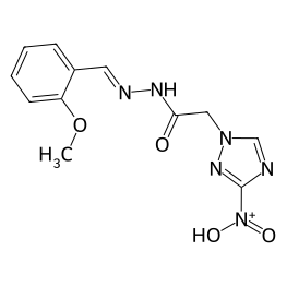 COc1ccccc1/C=N/NC(=O)Cn1cnc([N+](=O)O)n1